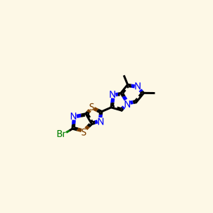 Cc1cn2cc(-c3nc4sc(Br)nc4s3)nc2c(C)n1